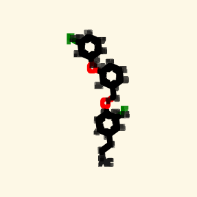 CC(=O)CCc1ccc(OCc2cccc(Oc3cccc(F)c3)c2)c(F)c1